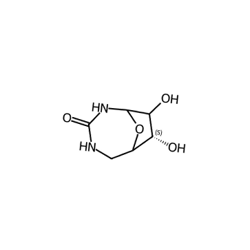 O=C1NCC2OC(N1)C(O)[C@@H]2O